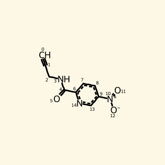 C#CCNC(=O)c1ccc([N+](=O)[O-])cn1